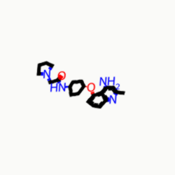 Cc1cc(N)c2c(O[C@H]3CC[C@H](NC(=O)CN4CCCC4)CC3)cccc2n1